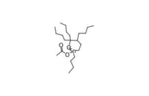 CCCCC1C[CH2][Sn]([CH2]CCC)([O]C(C)=O)[O]C1(CCCC)CCCC